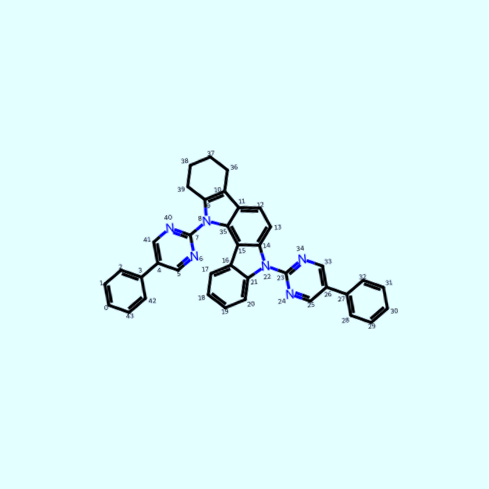 c1ccc(-c2cnc(-n3c4c(c5ccc6c(c7ccccc7n6-c6ncc(-c7ccccc7)cn6)c53)CCCC4)nc2)cc1